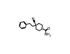 N#CC1(CCc2ccccc2)CCN(C(N)=O)CC1